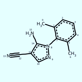 Cc1cccc(C)c1-n1ncc(C#N)c1N